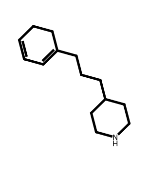 C1=CCCC(CCCC2CCNCC2)=C1